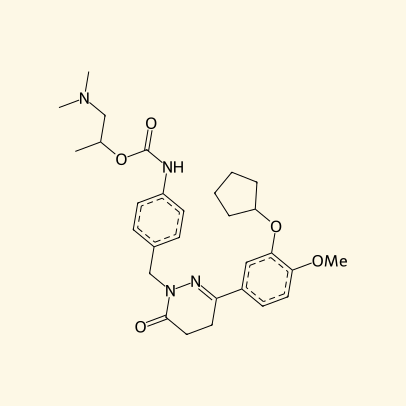 COc1ccc(C2=NN(Cc3ccc(NC(=O)OC(C)CN(C)C)cc3)C(=O)CC2)cc1OC1CCCC1